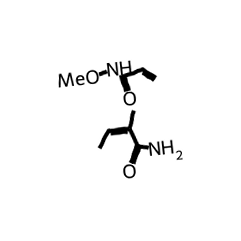 C=CC(=O)NOC.CC=C(C)C(N)=O